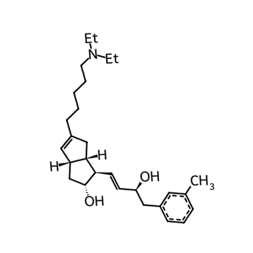 CCN(CC)CCCCCC1=C[C@H]2C[C@@H](O)[C@H](/C=C/[C@@H](O)Cc3cccc(C)c3)[C@H]2C1